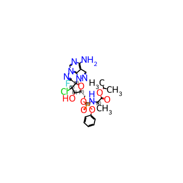 CC(C)OC(=O)[C@@H](C)N[P@@](=O)(OC[C@H]1O[C@@](C#N)(n2ncc3c(N)ncnc32)[C@@](F)(Cl)[C@@H]1O)Oc1ccccc1